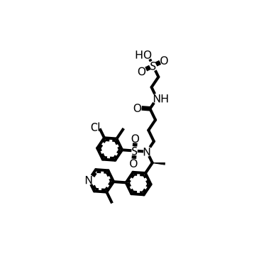 Cc1cnccc1-c1cccc([C@H](C)N(CCCC(=O)NCCS(=O)(=O)O)S(=O)(=O)c2cccc(Cl)c2C)c1